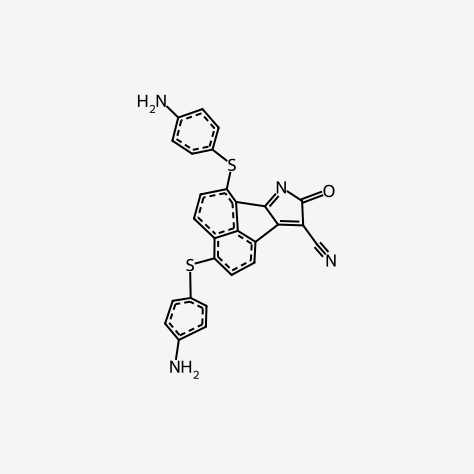 N#CC1=C2C(=NC1=O)c1c(Sc3ccc(N)cc3)ccc3c(Sc4ccc(N)cc4)ccc2c13